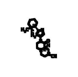 CC1(C)CCCC[C@@H]1c1ncc(N2CCN3CCN(C#N)C[C@@H]3C2=O)s1